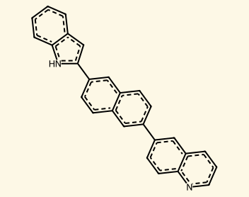 c1cnc2ccc(-c3ccc4cc(-c5cc6ccccc6[nH]5)ccc4c3)cc2c1